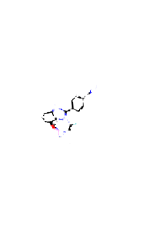 CN1C=C(F)N2C(c3ccc(C#N)cc3)NC3CCCC(=O)C32C1